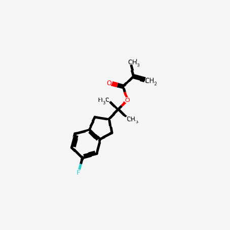 C=C(C)C(=O)OC(C)(C)C1Cc2ccc(F)cc2C1